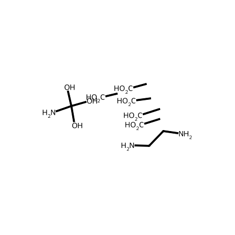 CC(=O)O.CC(=O)O.CC(=O)O.CC(=O)O.CC(=O)O.NC(O)(O)O.NCCN